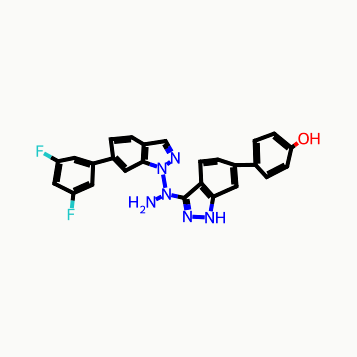 NN(c1n[nH]c2cc(-c3ccc(O)cc3)ccc12)n1ncc2ccc(-c3cc(F)cc(F)c3)cc21